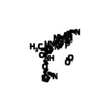 CCc1cc(Nc2nccn3c(-c4cn(CC#N)nc4C(F)(F)F)cnc23)ccc1C(=O)NCCOCC[N+]1(CC#N)CCCC1.O=C[O-]